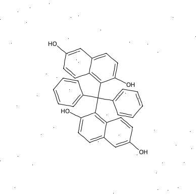 Oc1ccc2c(C(c3ccccc3)(c3ccccc3)c3c(O)ccc4cc(O)ccc34)c(O)ccc2c1